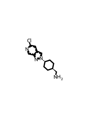 NC[C@H]1CC[C@H](n2cc3cc(Cl)ncc3n2)CC1